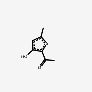 CC(=O)c1sc(C)cc1O